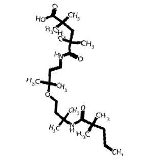 CCCC(C)(C)C(=O)NC(C)(C)CCOC(C)(C)CCNC(=O)C(C)(C)CC(C)(C)C(=O)O